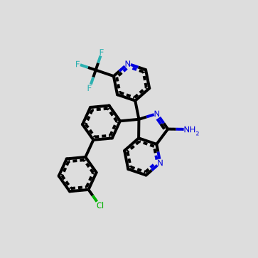 NC1=NC(c2cccc(-c3cccc(Cl)c3)c2)(c2ccnc(C(F)(F)F)c2)c2cccnc21